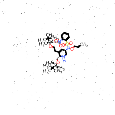 C=CCON([C@@H]1C=C(CCO[Si](C)(C)C(C)(C)C)[C@@H](CO[Si](C)(C)C(C)(C)C)NC1)S(=O)(=O)c1ccccc1[N+](=O)[O-]